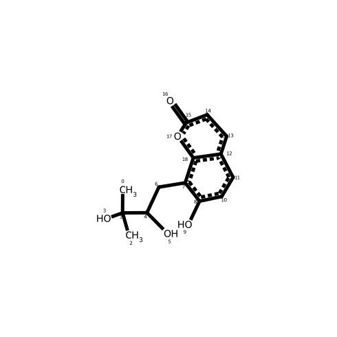 CC(C)(O)C(O)Cc1c(O)ccc2ccc(=O)oc12